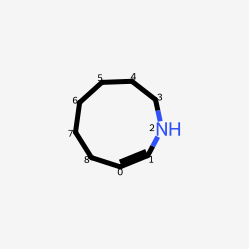 C1=CNCCCCCC1